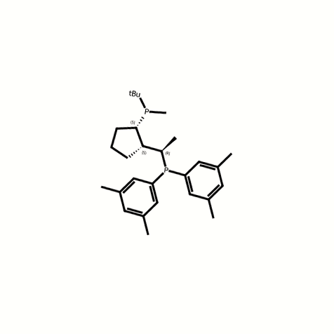 Cc1cc(C)cc(P(c2cc(C)cc(C)c2)[C@H](C)[C@@H]2CCC[C@@H]2P(C)C(C)(C)C)c1